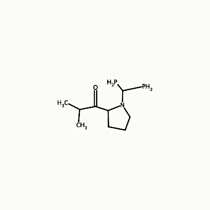 CC(C)C(=O)C1CCCN1C(P)P